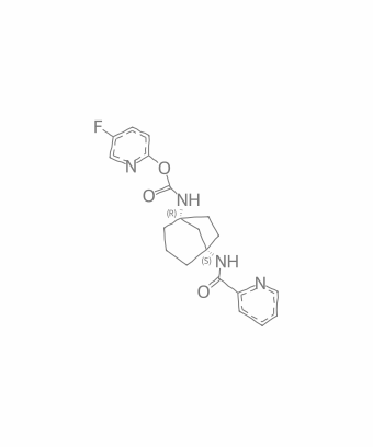 O=C(N[C@]12CCC[C@](NC(=O)c3ccccn3)(CC1)C2)Oc1ccc(F)cn1